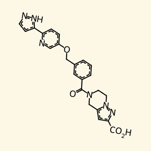 O=C(O)c1cc2n(n1)CCN(C(=O)c1cccc(COc3ccc(-c4ccn[nH]4)nc3)c1)C2